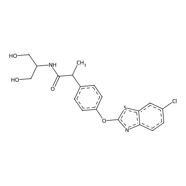 CC(C(=O)NC(CO)CO)c1ccc(Oc2nc3ccc(Cl)cc3s2)cc1